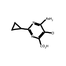 O=C(O)c1nc(C2CC2)nc([AsH2])c1Cl